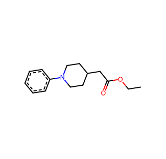 CCOC(=O)CC1CCN(c2ccccc2)CC1